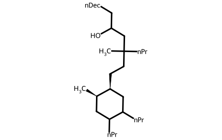 CCCCCCCCCCCC(O)CC(C)(CCC)CC[C@H]1CC(CCC)C(CCC)C[C@H]1C